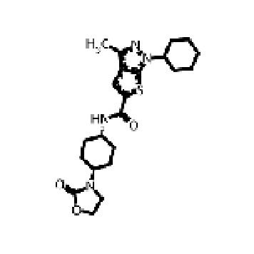 Cc1nn(C2CCCCC2)c2sc(C(=O)N[C@H]3CC[C@H](N4CCOC4=O)CC3)cc12